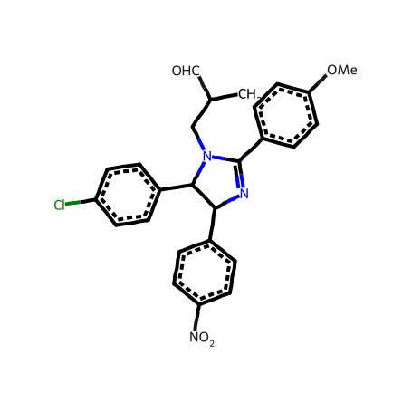 COc1ccc(C2=NC(c3ccc([N+](=O)[O-])cc3)C(c3ccc(Cl)cc3)N2CC(C)C=O)cc1